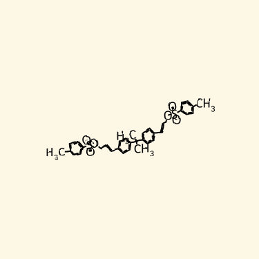 Cc1ccc(S(=O)(=O)OCC=Cc2ccc(C(C)(C)c3ccc(C=CCOS(=O)(=O)c4ccc(C)cc4)cc3)cc2)cc1